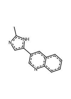 Cc1ncc(-c2cnc3ccccc3c2)[nH]1